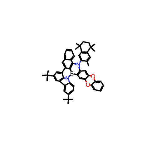 Cc1cc2c(cc1N1c3cc4c(cc3B3c5c(cc6ccccc6c51)-c1cc(C(C)(C)C)cc5c6cc(C(C)(C)C)ccc6n3c15)Oc1ccccc1O4)C(C)(C)CCC2(C)C